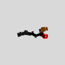 CSCCC(=O)S